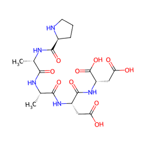 C[C@H](NC(=O)[C@H](C)NC(=O)[C@@H]1CCCN1)C(=O)N[C@@H](CC(=O)O)C(=O)N[C@@H](CC(=O)O)C(=O)O